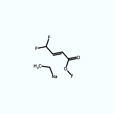 C[CH2][Na].O=C(C=CC(F)F)OF